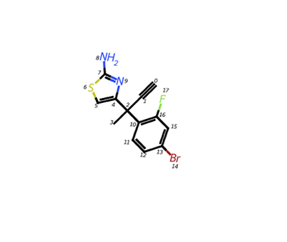 C#CC(C)(c1csc(N)n1)c1ccc(Br)cc1F